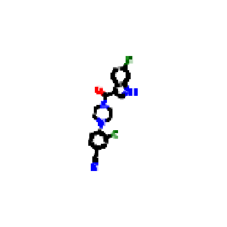 N#Cc1ccc(N2CCN(C(=O)c3c[nH]c4cc(Cl)ccc34)CC2)c(Cl)c1